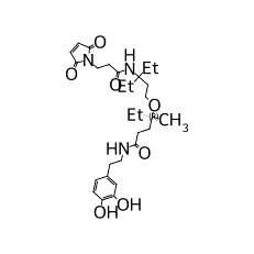 CCC(CC)(CCO[C@](C)(CC)CCC(=O)NCCc1ccc(O)c(O)c1)NC(=O)CCN1C(=O)C=CC1=O